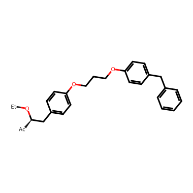 CCO[C@@H](Cc1ccc(OCCCOc2ccc(Cc3ccccc3)cc2)cc1)C(C)=O